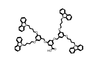 O=C(O)c1cc(OCc2cc(OCCCCn3c4ccccc4c4ccccc43)cc(OCCCCn3c4ccccc4c4ccccc43)c2)cc(OCc2cc(OCCCCn3c4ccccc4c4ccccc43)cc(OCCCCn3c4ccccc4c4ccccc43)c2)c1